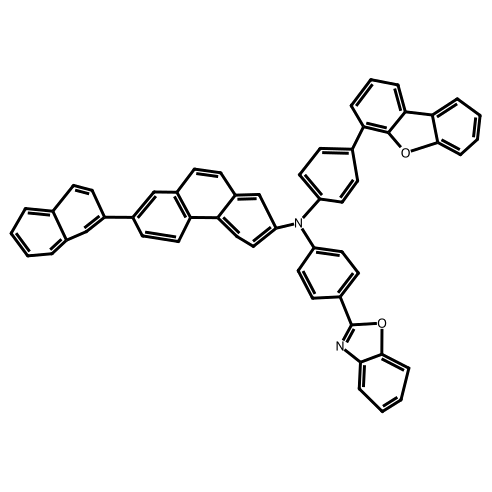 c1ccc2cc(-c3ccc4c(ccc5cc(N(c6ccc(-c7nc8ccccc8o7)cc6)c6ccc(-c7cccc8c7oc7ccccc78)cc6)ccc54)c3)ccc2c1